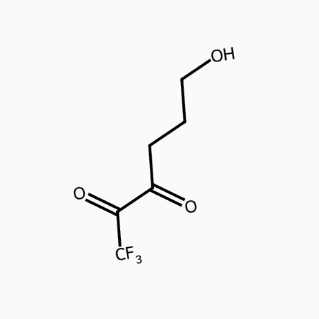 O=C(CCCO)C(=O)C(F)(F)F